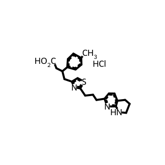 Cc1ccc(C(CC(=O)O)Cc2csc(CCCc3ccc4c(n3)NCCC4)n2)cc1.Cl